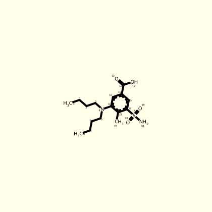 CCCCN(CCCC)c1cc(C(=O)O)cc(S(N)(=O)=O)c1C